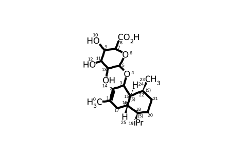 CC1=CC(OC2OC(C(=O)O)C(O)C(O)C2O)[C@@H]2[C@@H](C1)[C@H](C(C)C)CC[C@@H]2C